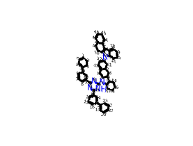 C1=CCCC(c2cccc(C3=NC(c4cccc(-c5ccccc5)c4)NC(N4C5=CC6=CC=C(n7c8c(c9ccccc97)C7C=CC=CC7C=C8)CC6CC5C5=C4CCC=C5)=N3)c2)=C1